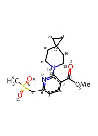 COC(=O)c1ccc(CS(C)(=O)=O)nc1N1CCC2(CC1)CC2